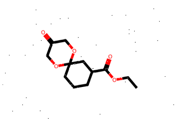 CCOC(=O)C1CCCC2(C1)OCC(=O)CO2